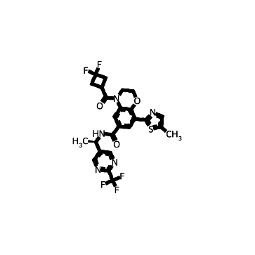 Cc1cnc(-c2cc(C(=O)N[C@H](C)c3cnc(C(F)(F)F)nc3)cc3c2OCCN3C(=O)C2CC(F)(F)C2)s1